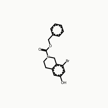 O=C(OCc1ccccc1)N1CCc2cc(O)cc(Br)c2C1